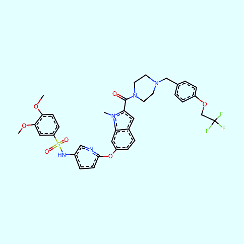 COc1ccc(S(=O)(=O)Nc2ccc(Oc3ccc4cc(C(=O)N5CCN(Cc6ccc(OCC(F)(F)F)cc6)CC5)n(C)c4c3)nc2)cc1OC